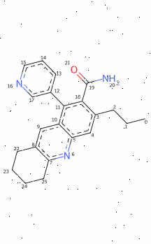 CCCc1cc2nc3c(cc2c(-c2cccnc2)c1C(N)=O)CCCC3